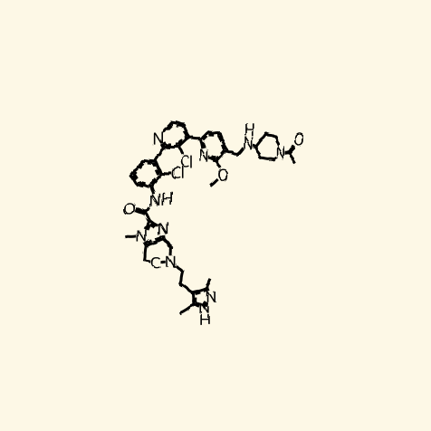 COc1nc(-c2ccnc(-c3cccc(NC(=O)c4nc5c(n4C)CCN(CCc4c(C)n[nH]c4C)C5)c3Cl)c2Cl)ccc1CNC1CCN(C(C)=O)CC1